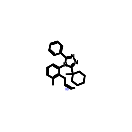 C/C=C\Cc1c(C)cccc1-n1c(-c2ccccc2)nnc1C1(C)CCCCC1